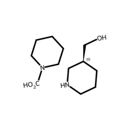 O=C(O)N1CCCCC1.OC[C@H]1CCCNC1